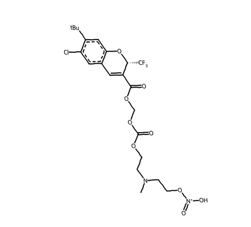 CN(CCOC(=O)OCOC(=O)C1=Cc2cc(Cl)c(C(C)(C)C)cc2O[C@@H]1C(F)(F)F)CCO[N+](=O)O